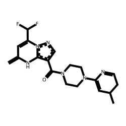 C=C1C=C(C(F)F)n2ncc(C(=O)N3CCN(C4=CC(C)CC=N4)CC3)c2N1